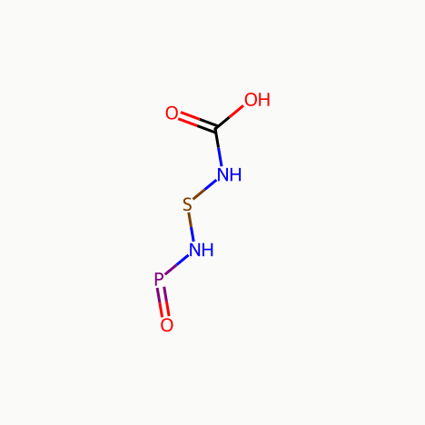 O=PNSNC(=O)O